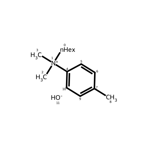 CCCCCC[N+](C)(C)c1ccc(C)cc1.[OH-]